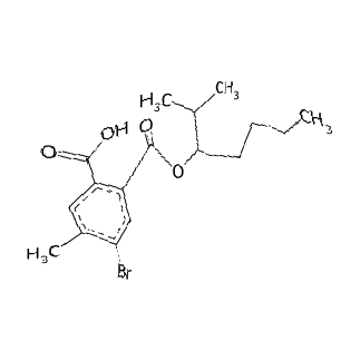 CCCCC(OC(=O)c1cc(Br)c(C)cc1C(=O)O)C(C)C